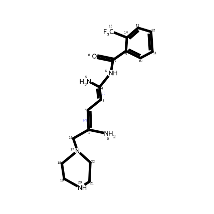 N/C(=C\C=C(/N)NC(=O)c1ccccc1C(F)(F)F)CN1CCNCC1